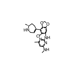 CNc1cc(C)nc(Nc2cc3c(c(C4=CCN[C@@H](C)CC4)c2Cl)OCO3)n1